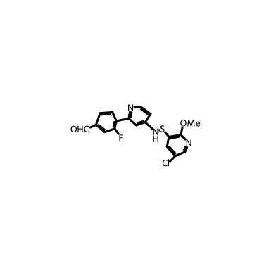 COc1ncc(Cl)cc1SNc1ccnc(-c2ccc(C=O)cc2F)c1